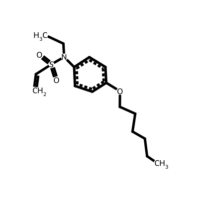 C=CS(=O)(=O)N(CC)c1ccc(OCCCCCC)cc1